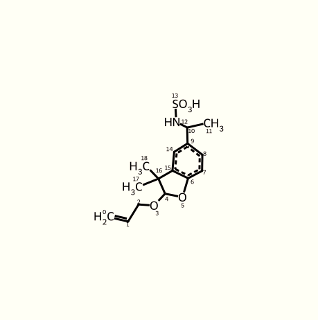 C=CCOC1Oc2ccc(C(C)NS(=O)(=O)O)cc2C1(C)C